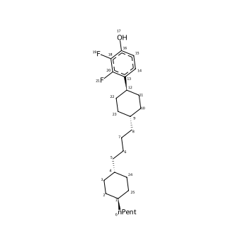 CCCCC[C@H]1CC[C@H](CCCC[C@H]2CC[C@H](c3ccc(O)c(F)c3F)CC2)CC1